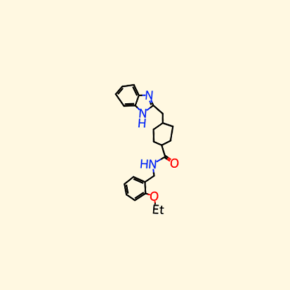 CCOc1ccccc1CNC(=O)C1CCC(Cc2nc3ccccc3[nH]2)CC1